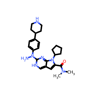 CN(C)C(=O)c1cc2c(n1C1CCCC1)=NC(N(N)c1ccc(C3CCNCC3)cc1)NC=2